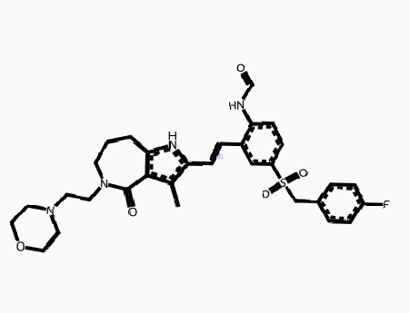 Cc1c(/C=C/c2cc(S(=O)(=O)Cc3ccc(F)cc3)ccc2NC=O)[nH]c2c1C(=O)N(CCN1CCOCC1)CCC2